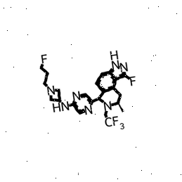 C[C@@H]1Cc2c(ccc3[nH]nc(F)c23)C(c2cnc(NC3CN(CCCF)C3)cn2)N1CC(F)(F)F